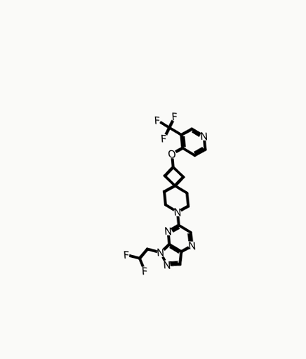 FC(F)Cn1ncc2ncc(N3CCC4(CC3)CC(Oc3ccncc3C(F)(F)F)C4)nc21